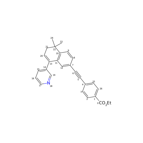 CCOC(=O)c1ccc(C#Cc2ccc3c(c2)C(c2cccnc2)=CCC3(C)C)cc1